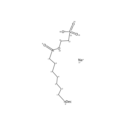 CCCCCCCCCCCCCCCCCC(=O)OCCS(=O)(=O)[O-].[Na+]